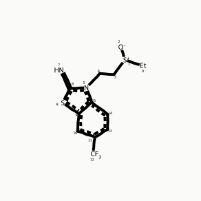 CC[S+]([O-])CCn1c(=N)sc2cc(C(F)(F)F)ccc21